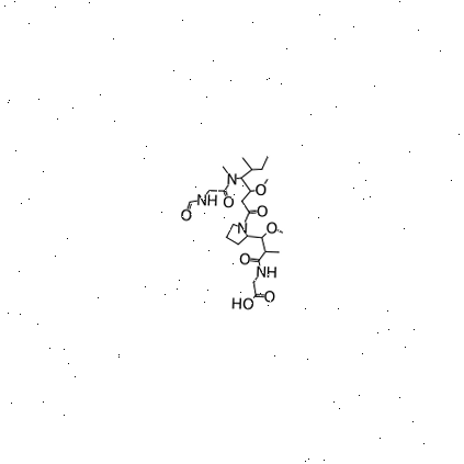 CCC(C)C(C(CC(=O)N1CCCC1C(OC)C(C)C(=O)NCC(=O)O)OC)N(C)C(=O)CNC=O